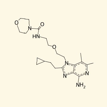 Cc1nc(N)c2nc(CCC3CC3)n(CCOCCNC(=O)N3CCOCC3)c2c1C